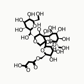 O=C(O)CC(=O)OC[C@H]1OC([C@]2(O)[CH]O[C@H](C(O)[C@@H]3O[C@H](CO)[C@@H](O)[C@H](O)[C@H]3O)[C@@H](O)[C@@]2(O)[C@H]2O[C@@H](CO)[C@H](O)[C@@H](O)[C@@H]2O)[C@H](O)[C@@H](O)[C@@H]1O